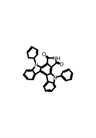 O=C1NC(=O)c2c1c1c(c3ccccc3n1-c1ccccc1)c1c3ccccc3n(C3C=CC=CC3)c21